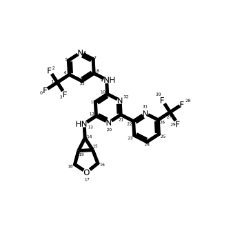 FC(F)(F)c1cncc(Nc2cc(NC3C4COCC43)nc(-c3cccc(C(F)(F)F)n3)n2)c1